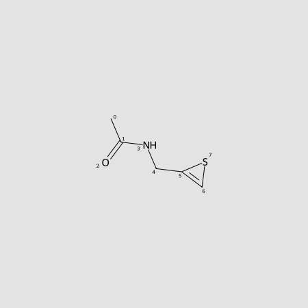 CC(=O)NCC1=CS1